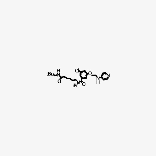 CC(C)N(CCCCCC(=O)NCC(C)(C)C)C(=O)c1cc(Cl)cc(OCCNc2ccncc2)c1